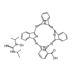 CC(C)NC(=N)[N]([Zn])C(C)C.O=C(O)c1cccc2c3nc4nc(nc5[nH]c(nc6nc(nc([nH]3)c12)-c1ccccc1-6)c1ccccc51)-c1ccccc1-4